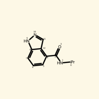 CC(C)NC(=O)c1cccc2[nH]ncc12